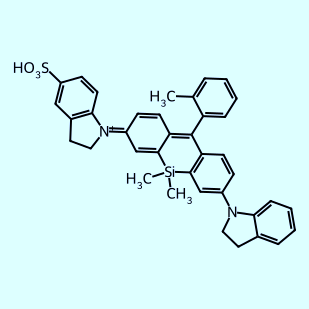 Cc1ccccc1C1=C2C=C/C(=[N+]3/CCc4cc(S(=O)(=O)O)ccc43)C=C2[Si](C)(C)c2cc(N3CCc4ccccc43)ccc21